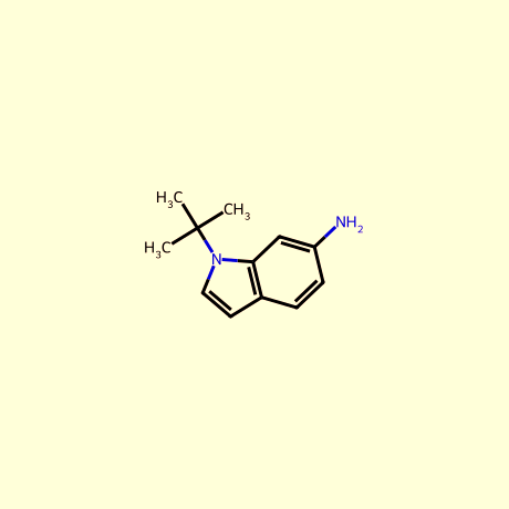 CC(C)(C)n1ccc2ccc(N)cc21